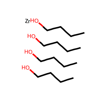 CCCCO.CCCCO.CCCCO.CCCCO.[Zr]